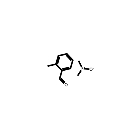 C[S+](C)[O-].Cc1ccccc1C=O